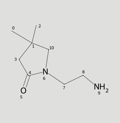 CC1(C)CC(=O)N(CCN)C1